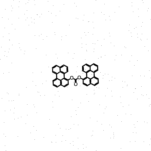 O=C(Oc1ccc2cccc3c4cccc5cccc(c1c23)c54)Oc1ccc2cccc3c4cccc5cccc(c1c23)c54